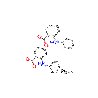 O=C([O-])c1ccccc1Nc1ccccc1.O=C([O-])c1ccccc1Nc1ccccc1.[Pb+2]